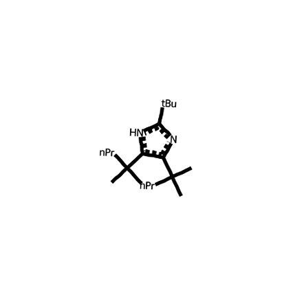 CCCC(C)(C)c1nc(C(C)(C)C)[nH]c1C(C)(C)CCC